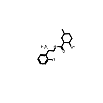 CC1CCC(C(C)C)C(C(=O)NC[C@@H](N)c2ccccc2Cl)C1